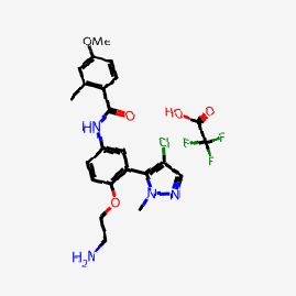 COc1ccc(C(=O)Nc2ccc(OCCN)c(-c3c(Cl)cnn3C)c2)c(C)c1.O=C(O)C(F)(F)F